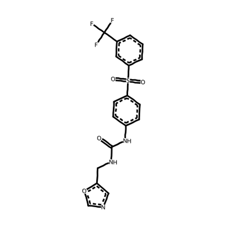 O=C(NCc1cnco1)Nc1ccc(S(=O)(=O)c2cccc(C(F)(F)F)c2)cc1